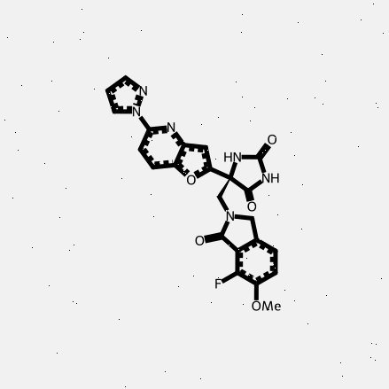 COc1ccc2c(c1F)C(=O)N(C[C@@]1(c3cc4nc(-n5cccn5)ccc4o3)NC(=O)NC1=O)C2